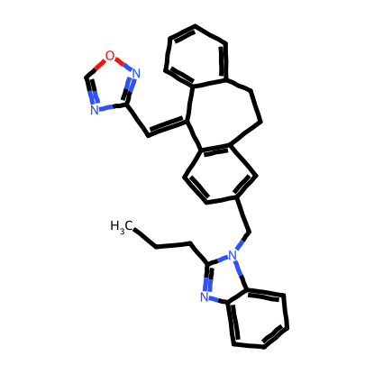 CCCc1nc2ccccc2n1Cc1ccc2c(c1)CCc1ccccc1C2=Cc1ncon1